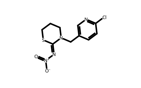 O=[N+]([O-])N=C1SCCCN1Cc1ccc(Cl)nc1